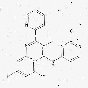 Cc1c(-c2ccccn2)nc2cc(F)cc(F)c2c1Nc1ccnc(Cl)n1